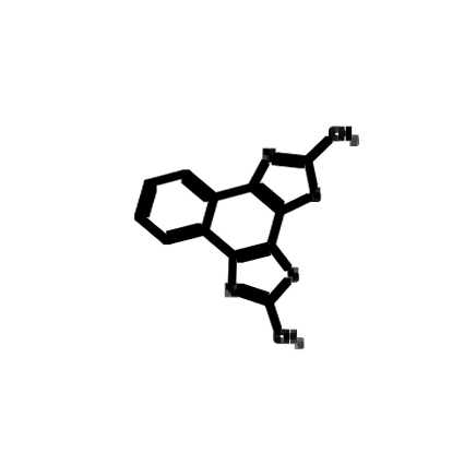 Cc1nc2c3ccccc3c3nc(C)sc3c2s1